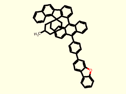 CC1CC2CCC3(c4c(cccc4-c4c5ccccc5c(-c5ccc(-c6ccc7c(c6)oc6ccccc67)cc5)c5ccccc45)-c4ccc5ccccc5c43)C(C1)C2